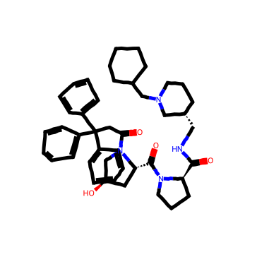 O=C(NC[C@H]1CCCN(CC2CCCCC2)C1)[C@H]1CCCN1C(=O)[C@@H]1C[C@@H](O)CN1C(=O)CC(c1ccccc1)(c1ccccc1)c1ccccc1